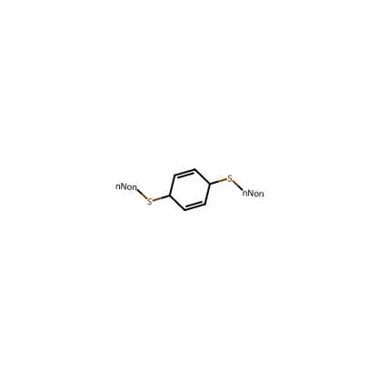 CCCCCCCCCSC1C=CC(SCCCCCCCCC)C=C1